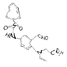 C=CN(CC(=O)O)c1ccc(NS(=O)(=O)c2ccccc2)cc1C=O